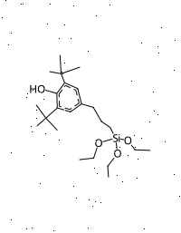 CCO[Si](CCCc1cc(C(C)(C)C)c(O)c(C(C)(C)C)c1)(OCC)OCC